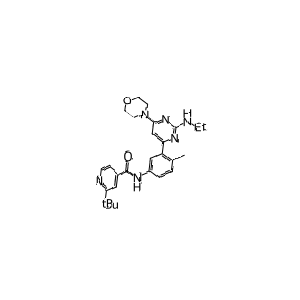 CCNc1nc(-c2cc(NC(=O)c3ccnc(C(C)(C)C)c3)ccc2C)cc(N2CCOCC2)n1